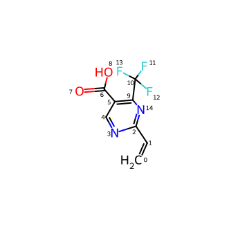 C=Cc1ncc(C(=O)O)c(C(F)(F)F)n1